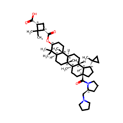 CC1([C@@H]2CC[C@]3(C(=O)N4CCC[C@H]4CN4CCCC4)CC[C@]4(C)[C@H](CC[C@@H]5[C@@]6(C)CC[C@H](OC(=O)[C@H]7C[C@@H](C(=O)O)C7(C)C)C(C)(C)[C@@H]6CC[C@]54C)[C@@H]23)CC1